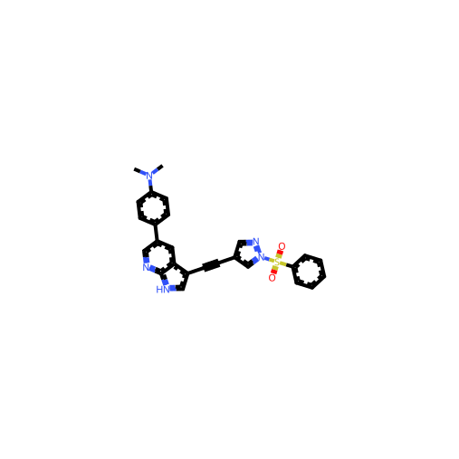 CN(C)c1ccc(-c2cnc3[nH]cc(C#Cc4cnn(S(=O)(=O)c5ccccc5)c4)c3c2)cc1